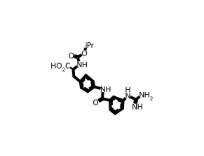 CC(C)OC(=O)N[C@@H](Cc1ccc(NC(=O)c2cccc(NC(=N)N)c2)cc1)C(=O)O